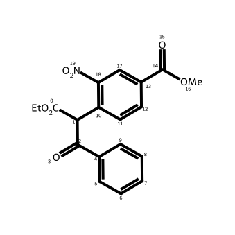 CCOC(=O)C(C(=O)c1ccccc1)c1ccc(C(=O)OC)cc1[N+](=O)[O-]